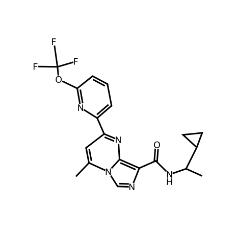 Cc1cc(-c2cccc(OC(F)(F)F)n2)nc2c(C(=O)NC(C)C3CC3)ncn12